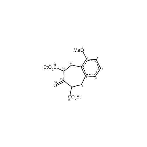 CCOC(=O)C1Cc2cccc(OC)c2CC(C(=O)OCC)C1=O